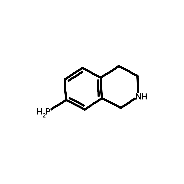 Pc1ccc2c(c1)CNCC2